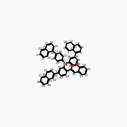 C1=Cc2c(cccc2-c2cccc(N(c3ccc(-c4cccc5ccccc45)cc3)c3cc(-c4ccc5ccccc5c4)ccc3-c3ccc4ccccc4c3)c2)CC1